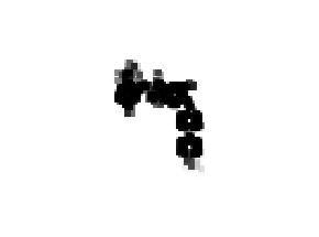 CCS(=O)(=O)c1ccc(Cl)cc1Cn1cnc2cc(CN3CCN(C4CCN(C)CC4)CC3)c(Br)cc2c1=O